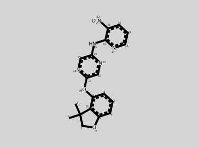 CC1(C)COc2cccc(Oc3cnc(Nc4ncccc4[N+](=O)[O-])cn3)c21